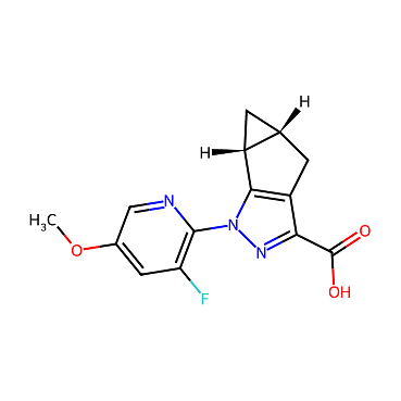 COc1cnc(-n2nc(C(=O)O)c3c2[C@@H]2C[C@@H]2C3)c(F)c1